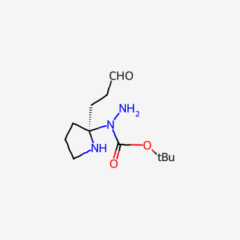 CC(C)(C)OC(=O)N(N)[C@]1(CCC=O)CCCN1